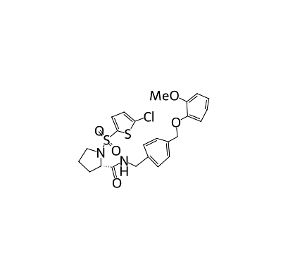 COc1ccccc1OCc1ccc(CNC(=O)[C@@H]2CCCN2S(=O)(=O)c2ccc(Cl)s2)cc1